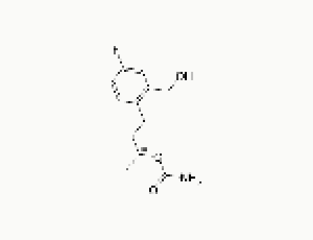 C[C@H](CCc1ccc(F)cc1CO)OC(N)=O